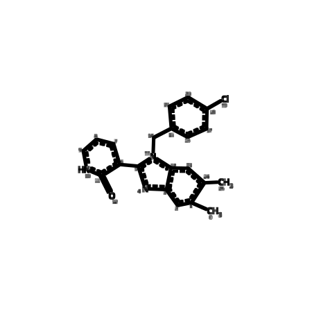 Cc1cc2nc(-c3ccc[nH]c3=O)n(Cc3ccc(Cl)cc3)c2cc1C